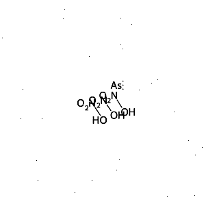 O=[N+]([O-])O.O=[N+]([O-])O.O=[N+]([O-])O.[As]